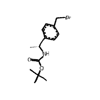 C[C@@H](NC(=O)OC(C)(C)C)c1ccc(CBr)cc1